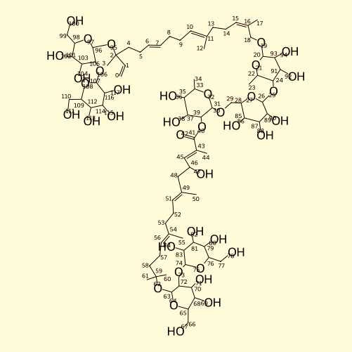 C=CC(C)(CC/C=C/CC/C=C(\C)CC/C=C(/C)COC1OC(C)C(OC2OC(COC3OC(C)C(O)C(O)C3OC(=O)/C(C)=C/C(O)C/C(C)=C/CC/C(C)=C/CCC(C)(C)OC3OC(CO)C(O)C(O)C3OC3OC(CO)C(O)C(O)C3O)C(O)C(O)C2O)C(O)C1O)OC1OC(CO)C(O)C(O)C1OC1OC(CO)C(O)C(O)C1O